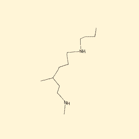 CCCNCCCC(C)CCNC